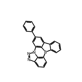 c1ccc(-c2cc3c4c(c2)-n2nnc5cccc(c52)B4c2ccccc2-3)cc1